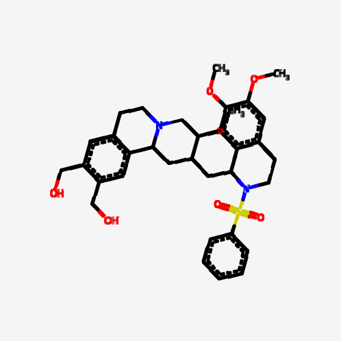 CCC1CN2CCc3cc(CO)c(CO)cc3C2CC1CC1c2cc(OC)c(OC)cc2CCN1S(=O)(=O)c1ccccc1